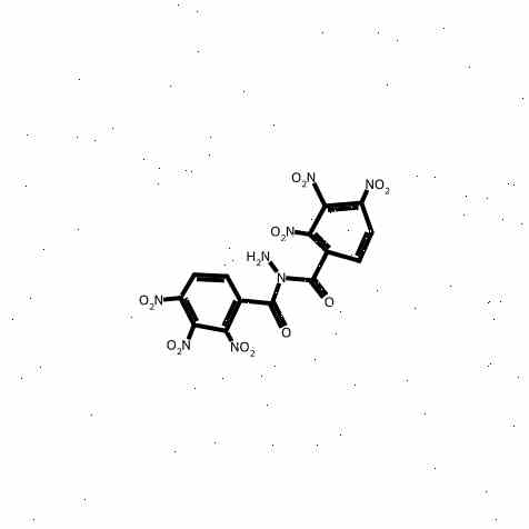 NN(C(=O)c1ccc([N+](=O)[O-])c([N+](=O)[O-])c1[N+](=O)[O-])C(=O)c1ccc([N+](=O)[O-])c([N+](=O)[O-])c1[N+](=O)[O-]